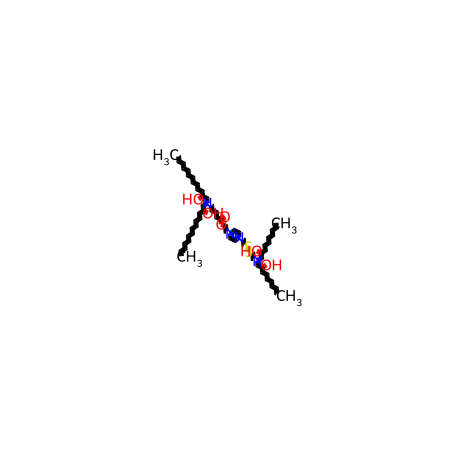 CCCCCCCCCCCCC(O)CN(CCCCC(=O)OCCN1CCN(CCSSCCN(CC(O)CCCCCCCC)CC(O)CCCCCCCC)CC1)CC(O)CCCCCCCCCCCC